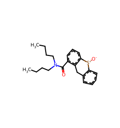 CCCCN(CCCC)C(=O)c1cccc2c1Cc1ccccc1[S+]2[O-]